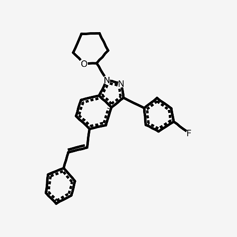 Fc1ccc(-c2nn(C3CCCCO3)c3ccc(C=Cc4ccccc4)cc23)cc1